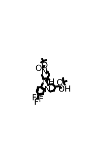 CC1(NCc2ccc(C(F)(F)F)cc2N2CCC(C(O)OC(C)(C)C)CC2)CCN(C(=O)OC(C)(C)C)CC1